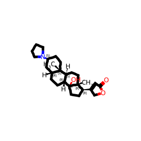 C[C@]12CC[C@H](N3CCCC3)C[C@H]1CC[C@@H]1[C@@H]2CC[C@]2(C)[C@@H](C3=CC(=O)OC3)CC[C@]12O